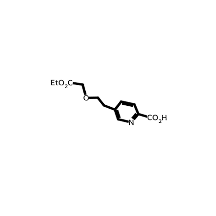 CCOC(=O)COCCc1ccc(C(=O)O)nc1